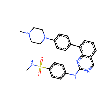 CNS(=O)(=O)c1ccc(Nc2ncc3cccc(-c4ccc(N5CCN(C)CC5)cc4)c3n2)cc1